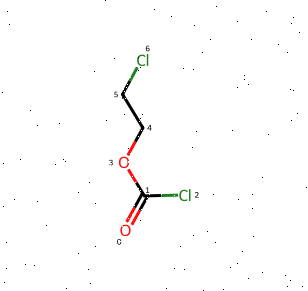 O=C(Cl)OC[CH]Cl